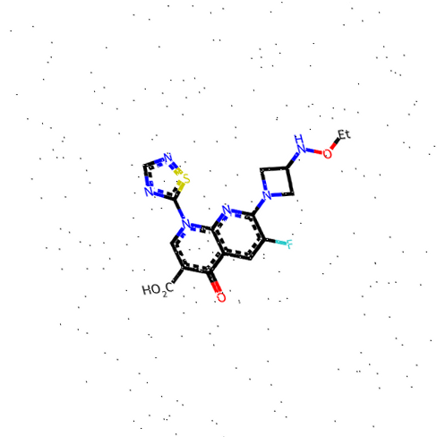 CCONC1CN(c2nc3c(cc2F)c(=O)c(C(=O)O)cn3-c2ncns2)C1